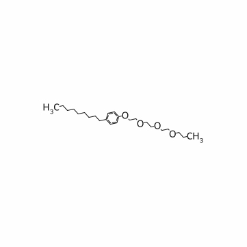 CCCCCCCCCc1ccc(OCCOCCOCCOCCC)cc1